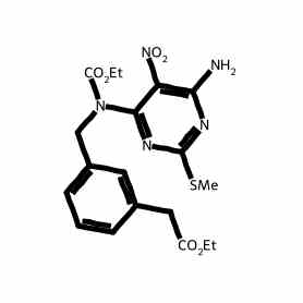 CCOC(=O)Cc1cccc(CN(C(=O)OCC)c2nc(SC)nc(N)c2[N+](=O)[O-])c1